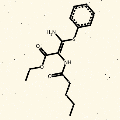 CCCCC(=O)NC(C(=O)OCC)=C(N)Sc1ccccc1